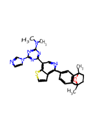 CN(C)c1nc(-c2cnc(-c3ccc4c(c3)C3(C)CCC4(C)O3)c3ccsc23)nc(-n2ccnc2)n1